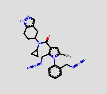 Cc1cc(C(=O)N(C2CC2)C2CCc3[nH]ncc3C2)c(CN=[N+]=[N-])n1-c1ccccc1CN=[N+]=[N-]